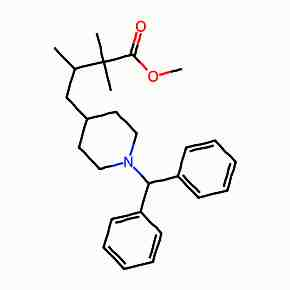 COC(=O)C(C)(C)C(C)CC1CCN(C(c2ccccc2)c2ccccc2)CC1